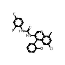 Cc1cc(Cl)cc2c(-c3ccccc3Cl)c(NC(=O)Nc3ccc(F)cc3F)cnc12